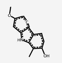 COc1ccc2c(c1)[nH]c1c(C)c(O)ccc12